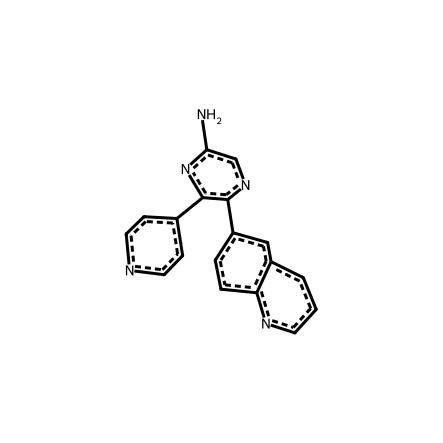 Nc1cnc(-c2ccc3ncccc3c2)c(-c2ccncc2)n1